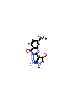 CCN1CC(=O)C(c2nc3cc(SC)ccc3c(=O)[nH]2)=C1N